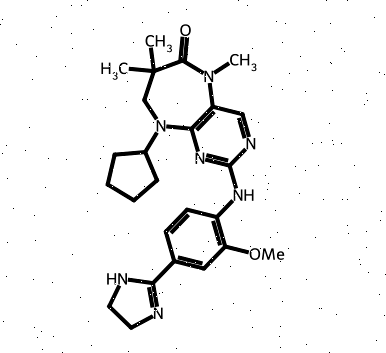 COc1cc(C2=NCCN2)ccc1Nc1ncc2c(n1)N(C1CCCC1)CC(C)(C)C(=O)N2C